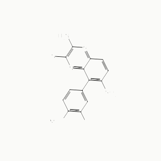 COc1ccc(-c2c([N+](=O)[O-])ccc3nc(N)c(N)nc23)cc1C(F)(F)F